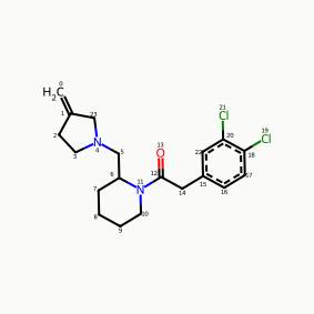 C=C1CCN(CC2CCCCN2C(=O)Cc2ccc(Cl)c(Cl)c2)C1